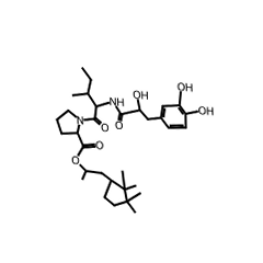 CCC(C)C(NC(=O)C(O)Cc1ccc(O)c(O)c1)C(=O)N1CCCC1C(=O)OC(C)CC1CCC(C)(C)C1(C)C